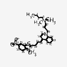 CCCC[N+](C)(C)CCCN1C=CC(=CC=Cc2sc3cc([N+](=O)[O-])ccc3[n+]2C)c2ccccc21